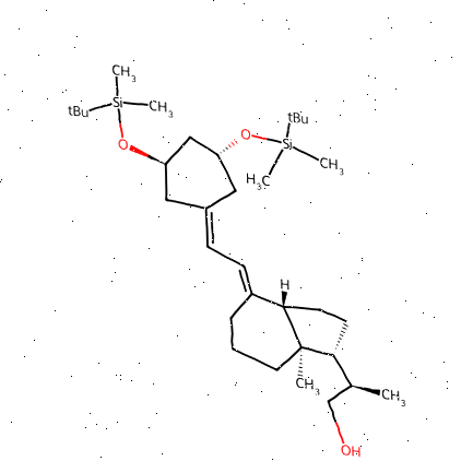 C[C@@H](CO)[C@H]1CC[C@H]2/C(=C/C=C3C[C@@H](O[Si](C)(C)C(C)(C)C)C[C@H](O[Si](C)(C)C(C)(C)C)C3)CCC[C@]12C